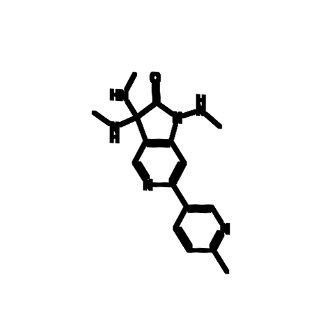 CNN1C(=O)C(NC)(NC)c2cnc(-c3ccc(C)nc3)cc21